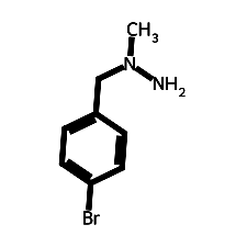 CN(N)Cc1ccc(Br)cc1